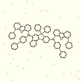 c1ccc(-c2ccc(N(c3ccc4c(c3)C(c3ccccc3)(c3ccccc3)c3cc(N(c5ccc(-c6ccccc6)cc5)c5cccc6c5oc5c(-c7ccccc7)cccc56)c5ccccc5c3-4)c3cccc4c3oc3c(-c5ccccc5)cccc34)cc2)cc1